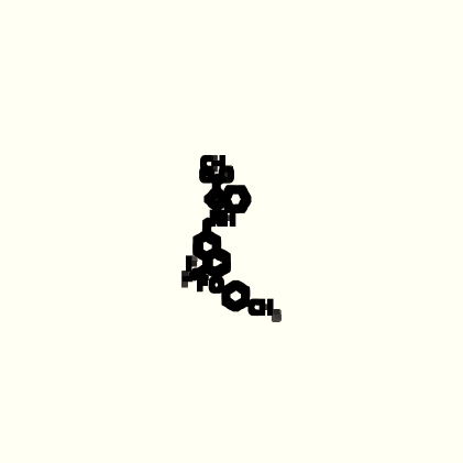 COC(=O)C1CC(NCc2ccc3c(C(F)(F)F)c(O[C@H]4CC[C@@H](C)CC4)ccc3c2)C12CCCCC2